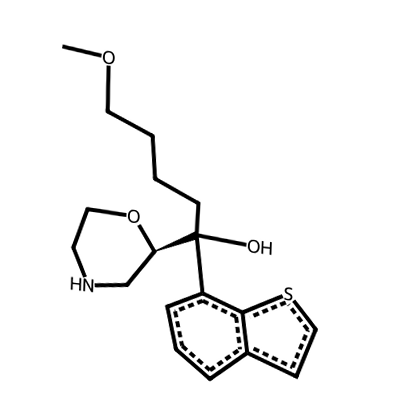 COCCCCC(O)(c1cccc2ccsc12)[C@H]1CNCCO1